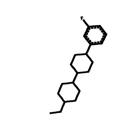 CCC1CCC(C2CCC(c3cccc(F)c3)CC2)CC1